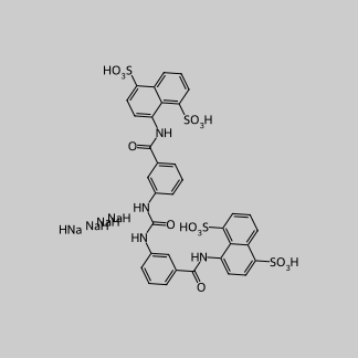 O=C(Nc1cccc(C(=O)Nc2ccc(S(=O)(=O)O)c3cccc(S(=O)(=O)O)c23)c1)Nc1cccc(C(=O)Nc2ccc(S(=O)(=O)O)c3cccc(S(=O)(=O)O)c23)c1.[NaH].[NaH].[NaH].[NaH]